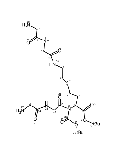 CC(C)(C)OC(=O)C(CSSCCNC(=O)CNC(=O)CN)N(C(=O)CNC(=O)CN)C(=O)OC(C)(C)C